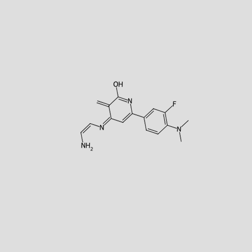 C=C1C(O)=NC(c2ccc(N(C)C)c(F)c2)=C/C1=N/C=C\N